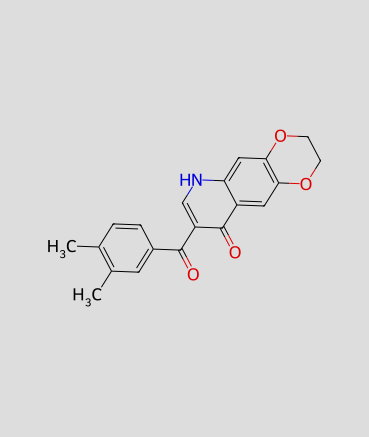 Cc1ccc(C(=O)c2c[nH]c3cc4c(cc3c2=O)OCCO4)cc1C